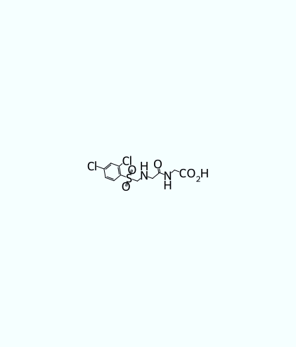 O=C(O)CNC(=O)CNCS(=O)(=O)c1ccc(Cl)cc1Cl